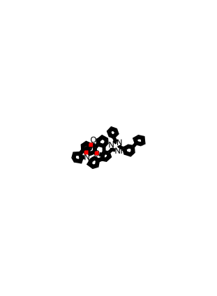 c1ccc(C2=NC(c3ccc4c(oc5c(-n6c7ccccc7c7ccccc76)cccc54)c3-c3cccc4oc5ccccc5c34)NC(c3cccc(-c4ccccc4)c3)=N2)cc1